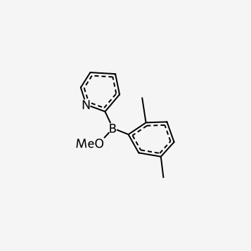 COB(c1ccccn1)c1cc(C)ccc1C